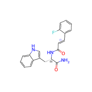 NC(=O)[C@H](Cc1c[nH]c2ccccc12)NC(=O)/C=C/c1ccccc1F